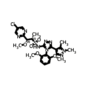 COc1cccc(OC)c1-n1c(NS(=O)(=O)[C@@H](C)[C@H](OC)c2ncc(Cl)cn2)nnc1-c1cnn(C)c1C